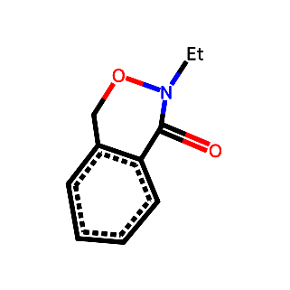 CCN1OCc2ccccc2C1=O